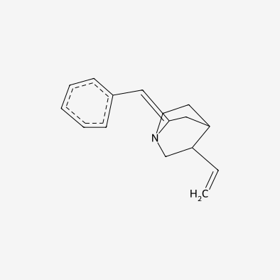 C=CC1CN2CCC1CC2=Cc1ccccc1